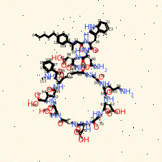 CCCCCc1ccc(/C(C)=C/C(=O)N[C@@H](Cc2c[nH]c3ccccc23)C(=O)N[C@H](CC(N)=O)C(=O)N[C@@H](CC(=O)O)C(=O)N[C@@H]2C(=O)NCC(=O)N[C@@H](CCCN)C(=O)N[C@@H](CC(=O)O)C(=O)N[C@H](C)C(=O)N[C@@H](CC(=O)O)C(=O)NCC(=O)N[C@H](CO)C(=O)NC(C(C)CC(=O)O)C(=O)N[C@@H](CC(=O)c3ccccc3NC)C(=O)C[C@@H]2C)cc1